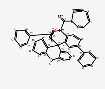 O=C(C1C#CC=CC=C1)N1c2ccc(-c3ccccc3)cc2C2(c3ccccc3Oc3ccccc32)c2cc(-c3ccccc3)ccc21